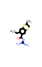 CCc1cc2c(cc1C(=O)N=C(N)N)SCC(C)S2